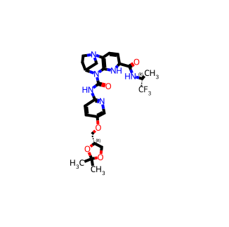 C[C@@H](NC(=O)C1C=CC2=C(N1)N(C(=O)Nc1ccc(OC[C@@H]3COC(C)(C)O3)cn1)C1CCN2C1)C(F)(F)F